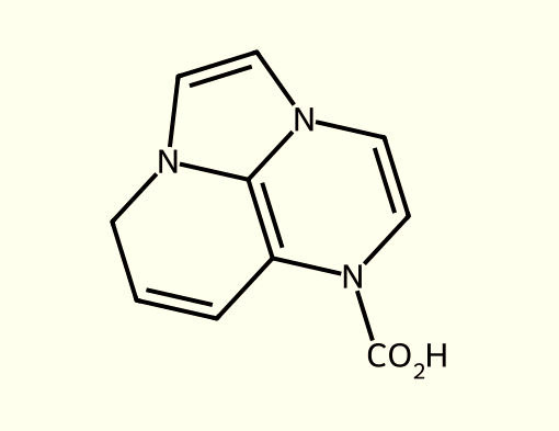 O=C(O)N1C=CN2C=CN3CC=CC1=C23